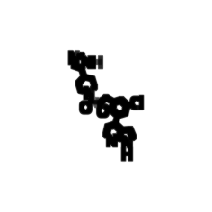 O=C([C@@H]1Cc2cc(Cl)cc(-c3ccnc4[nH]ccc34)c2O1)N1CCC(c2cnc[nH]2)CC1